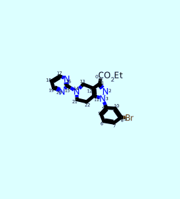 CCOC(=O)c1nn(-c2cccc(Br)c2)c2c1CN(c1ncccn1)CC2